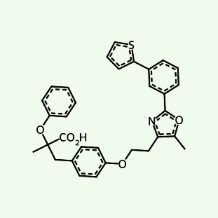 Cc1oc(-c2cccc(-c3cccs3)c2)nc1CCOc1ccc(CC(C)(Oc2ccccc2)C(=O)O)cc1